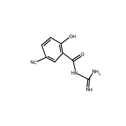 N#Cc1ccc(O)c(C(=O)NC(=N)N)c1